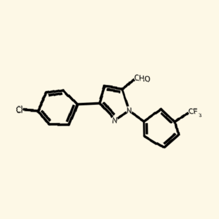 O=Cc1cc(-c2ccc(Cl)cc2)nn1-c1cccc(C(F)(F)F)c1